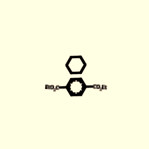 C1CCCCC1.CCOC(=O)c1ccc(C(=O)OCC)cc1